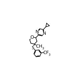 CC1(Sc2cccc(C(F)(F)F)c2)CCOC(c2cnc(C3CC3)cn2)C1